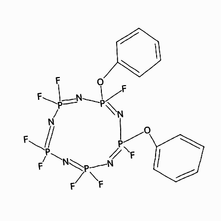 FP1(F)=NP(F)(F)=NP(F)(Oc2ccccc2)=NP(F)(Oc2ccccc2)=NP(F)(F)=N1